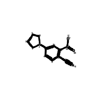 N#Cc1ccc(N2CCCC2)cc1[N+](=O)[O-]